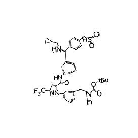 CC(C)(C)OC(=O)NCc1cccc(-n2nc(C(F)(F)F)cc2C(=O)Nc2cccc(C(NCC3CC3)c3ccc(C[SH](=O)=O)cc3)c2)c1